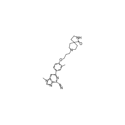 Cc1cc(-c2cc3c(ncn3C)c(C#N)n2)ccc1OCCCN1CCC2(CCNC2=O)CC1